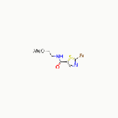 COCCNC(=O)c1cnc(Br)s1